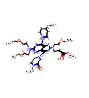 COCCN(CCC(=O)OC)c1nc(N2CCN(C)C(=O)C2)c2nc(N(CCOC)CCOC)nc(N3CCC(OC)CC3)c2n1